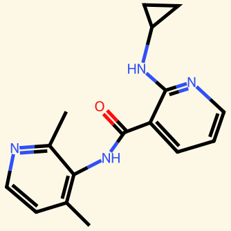 Cc1ccnc(C)c1NC(=O)c1cccnc1NC1CC1